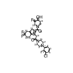 Cc1c(Cl)cccc1N1CCN(C(=O)CN2C3=C(CN2C(=O)N2CC[C@H](O)[C@H](F)C2)CC(F)(F)CC3)CC1